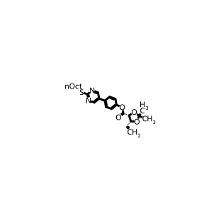 C=C[C@H]1OC(C)(C)O[C@H]1C(=O)Oc1ccc(-c2cnc(SCCCCCCCC)nc2)cc1